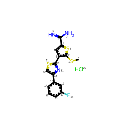 CSc1sc(C(=N)N)cc1-c1nc(-c2cccc(F)c2)cs1.Cl